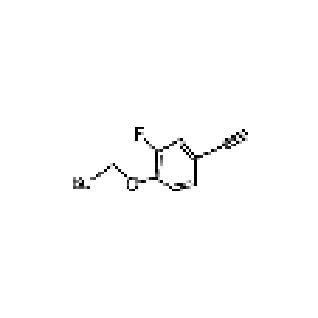 C#Cc1ccc(OCC(C)CC)c(F)c1